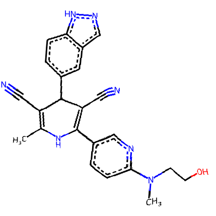 CC1=C(C#N)C(c2ccc3[nH]ncc3c2)C(C#N)=C(c2ccc(N(C)CCO)nc2)N1